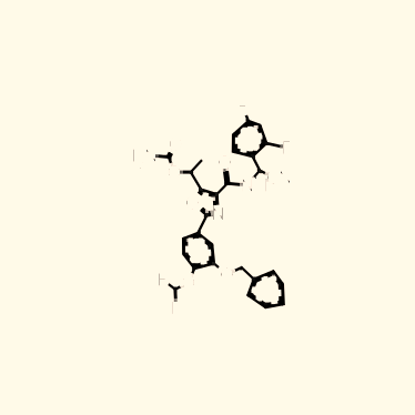 CC(OC(N)=O)c1oc(-c2ccc(OC(F)F)c(OCc3ccccc3)c2)nc1C(=O)NC(C#N)c1ccc(F)cc1F